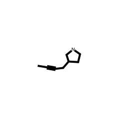 CC#CCC1CC[N]C1